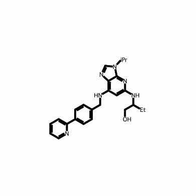 CCC(CO)Nc1cc(NCc2ccc(-c3ccccn3)cc2)c2ncn(C(C)C)c2n1